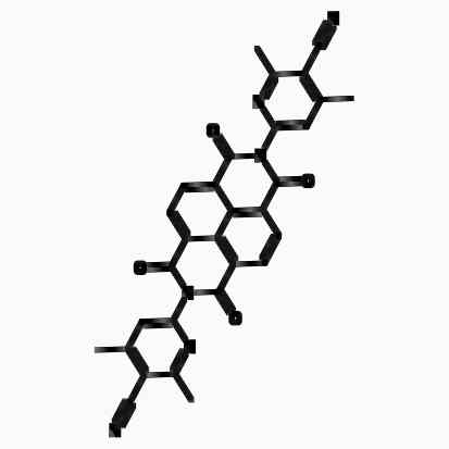 Cc1cc(N2C(=O)c3ccc4c5c(ccc(c35)C2=O)C(=O)N(c2cc(C)c(C#N)c(C)n2)C4=O)nc(C)c1C#N